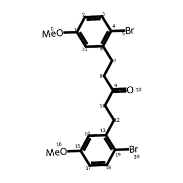 COc1ccc(Br)c(CCC(=O)CCc2cc(OC)ccc2Br)c1